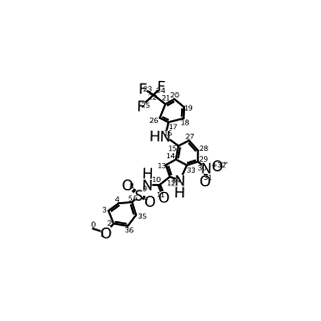 COc1ccc(S(=O)(=O)NC(=O)c2cc3c(Nc4cccc(C(F)(F)F)c4)ccc([N+](=O)[O-])c3[nH]2)cc1